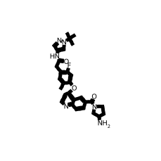 Cc1cc(CC(=O)Nc2cnn(C(C)(C)C)c2)c(F)cc1Oc1ccnc2ccc(C(=O)N3CCC(N)C3)cc12